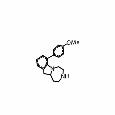 COc1ccc(-c2cccc3c2N2CCNCCC2C3)cc1